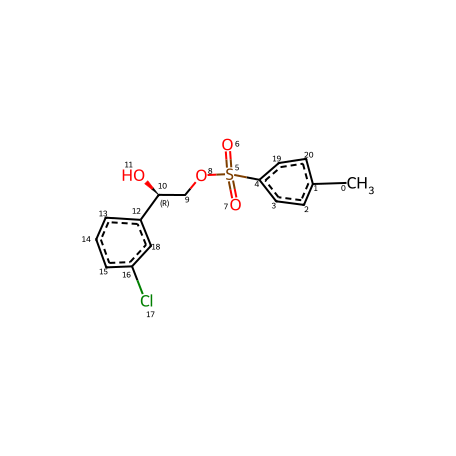 Cc1ccc(S(=O)(=O)OC[C@H](O)c2cccc(Cl)c2)cc1